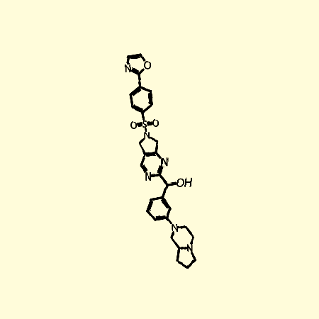 O=S(=O)(c1ccc(-c2ncco2)cc1)N1Cc2cnc(C(O)c3cccc(N4CCN5CCCC5C4)c3)nc2C1